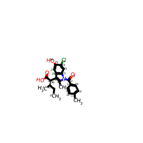 CCC(C)[C@@H](C(=O)O)c1c(C)n(C(=O)c2ccc(C)cc2)c2cc(Cl)c(O)cc12